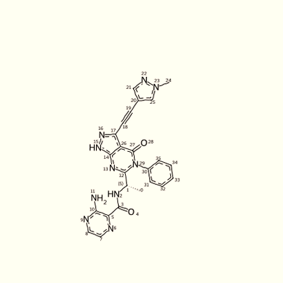 C[C@H](NC(=O)c1nccnc1N)c1nc2[nH]nc(C#Cc3cnn(C)c3)c2c(=O)n1-c1ccccc1